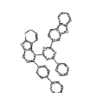 C1=Cc2c(oc3ccc(-c4ccc(-c5ccccc5)cc4)c(-c4nc(-c5ccccc5)nc(-c5ccc6c(c5)oc5ccccc56)n4)c23)CC1